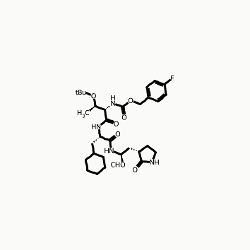 C[C@@H](OC(C)(C)C)[C@H](NC(=O)OCc1ccc(F)cc1)C(=O)N[C@@H](CC1CCCCC1)C(=O)N[C@H](C=O)C[C@@H]1CCNC1=O